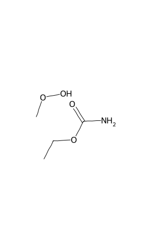 CCOC(N)=O.COO